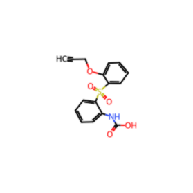 C#CCOc1ccccc1S(=O)(=O)c1ccccc1NC(=O)O